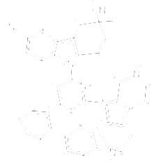 CC1(C#N)C=Cc2c(c3cc(C#N)ccc3n2-c2cc(-c3ccccc3-c3ccc(C#N)cc3)cc(-n3c4c(c5ccccc53)CCN=C4)n2)C1